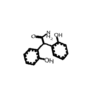 NC(=O)C(c1ccccc1O)c1ccccc1O